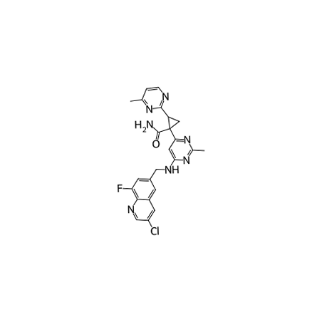 Cc1ccnc(C2CC2(C(N)=O)c2cc(NCc3cc(F)c4ncc(Cl)cc4c3)nc(C)n2)n1